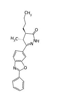 CCCC[C@H]1C(=O)NN=C(c2ccc3nc(-c4ccccc4)oc3c2)[C@@H]1C